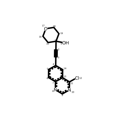 OC1(C#Cc2ccc3ncnc(Cl)c3c2)CCOCC1